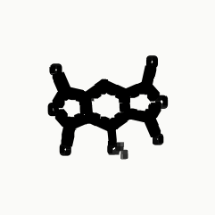 O=c1oc(=O)c2c(C(F)(F)F)c3c(=O)oc(=O)c3cc12